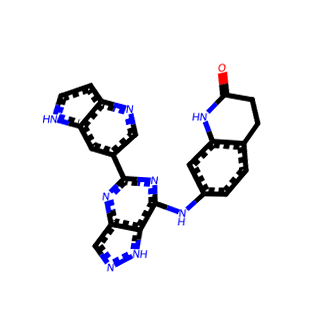 O=C1CCc2ccc(Nc3nc(-c4cnc5cc[nH]c5c4)nc4cn[nH]c34)cc2N1